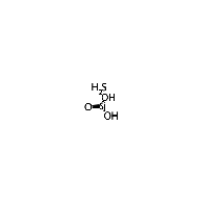 O=[Si](O)O.S